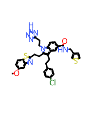 COc1ccc2sc(CCc3c(CCc4ccc(Cl)cc4)c4cc(C(=O)NCc5ccsc5)ccc4n3CCc3nn[nH]n3)nc2c1